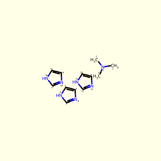 CN(C)C.c1c[nH]cn1.c1c[nH]cn1.c1c[nH]cn1